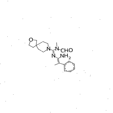 C/C(=C(N)\N=C(/N(C)C=O)N1CCC2(CCOC2)CC1)c1ccccc1